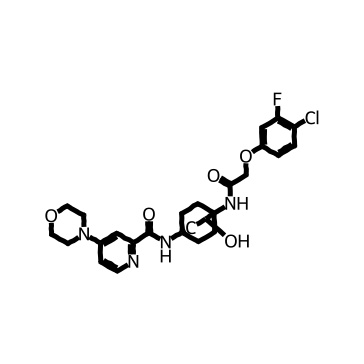 O=C(COc1ccc(Cl)c(F)c1)NC12CCC(NC(=O)c3cc(N4CCOCC4)ccn3)(CC1)CC2O